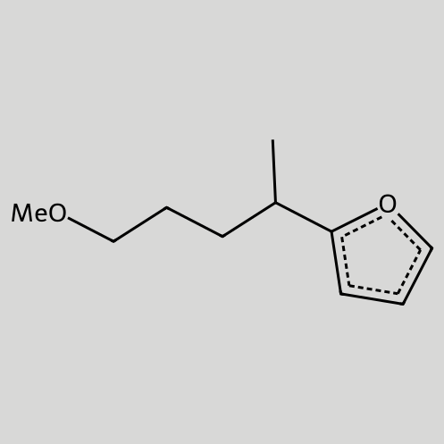 COCCCC(C)c1ccco1